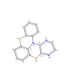 c1ccc2c(c1)Sc1cccc3c1N2c1nccnc1S3